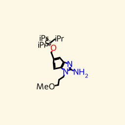 COCCCn1c(N)nc2cc(CO[Si](C(C)C)(C(C)C)C(C)C)ccc21